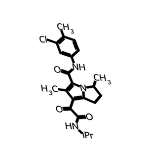 Cc1ccc(NC(=O)c2c(C)c(C(=O)C(=O)NC(C)C)c3n2C(C)CC3)cc1Cl